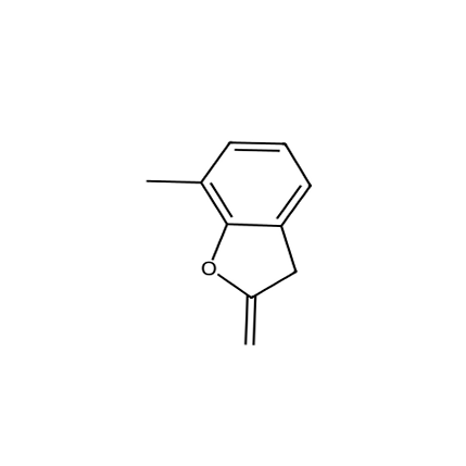 C=C1Cc2cccc(C)c2O1